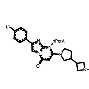 CCCCCn1c(N2CCC(C3CNC3)C2)cc(=O)n2cc(-c3ccc(Cl)cc3)nc12